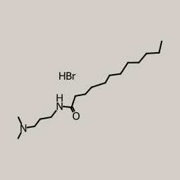 Br.CCCCCCCCCCCC(=O)NCCCN(C)C